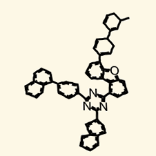 CC1C=C(C2C=CC(c3cccc4c3oc3cccc(-c5nc(-c6ccc(-c7cccc8ccccc78)cc6)nc(-c6ccc7ccccc7c6)n5)c34)=CC2)C=CC1